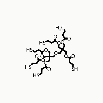 CCCC(=O)OCC(COCC(COC(=O)CCS)(COC(=O)CCS)COC(=O)CCS)(COC(=O)CCS)COC(=O)CCS